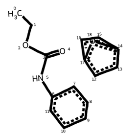 CCOC(=O)Nc1ccccc1.c1cc2ccc1o2